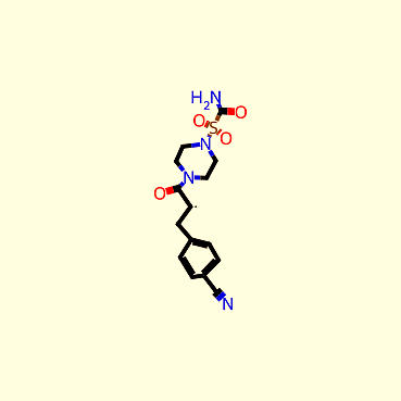 N#Cc1ccc(C[CH]C(=O)N2CCN(S(=O)(=O)C(N)=O)CC2)cc1